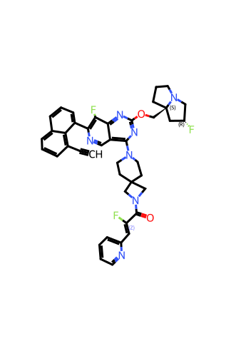 C#Cc1cccc2cccc(-c3ncc4c(N5CCC6(CC5)CN(C(=O)/C(F)=C/c5ccccn5)C6)nc(OC[C@@]56CCCN5C[C@H](F)C6)nc4c3F)c12